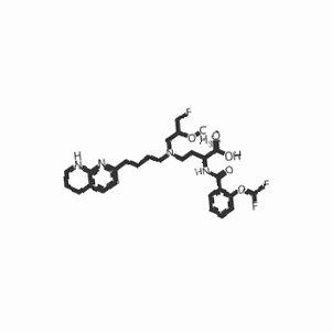 COC(CF)CN(CCCCc1ccc2c(n1)NCCC2)CCC(NC(=O)c1ccccc1OC(F)F)C(=O)O